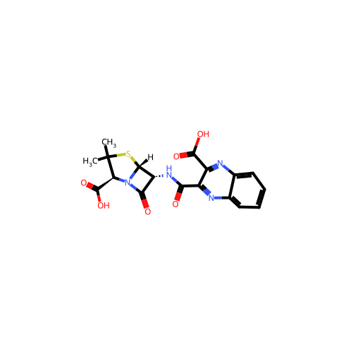 CC1(C)S[C@@H]2[C@H](NC(=O)c3nc4ccccc4nc3C(=O)O)C(=O)N2[C@H]1C(=O)O